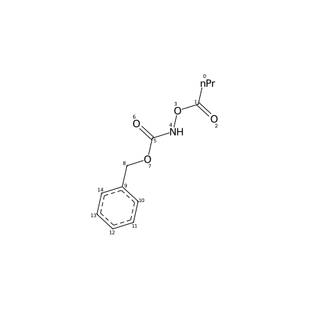 CCCC(=O)ONC(=O)OCc1ccccc1